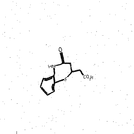 O=C(O)CC1CC(=O)Nc2ccccc2S1